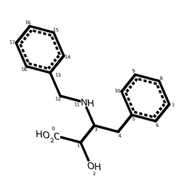 O=C(O)C(O)C(Cc1ccccc1)NCc1ccccc1